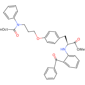 CCCCCCCCC(=O)N(CCCOc1ccc(C[C@H](Nc2ccccc2C(=O)c2ccccc2)C(=O)OC)cc1)c1ccccc1